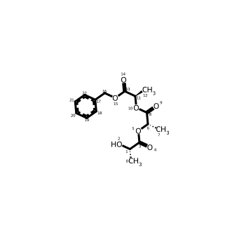 C[C@H](O)C(=O)O[C@@H](C)C(=O)O[C@H](C)C(=O)OCc1ccccc1